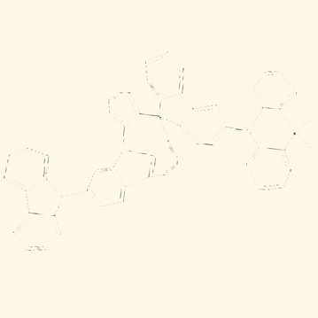 CC1(C)c2ccccc2N(c2ccc3c(c2)-c2ccccc2C32c3ccccc3B3c4cc(-n5c6ccccc6c6ccccc65)ccc4-c4cccc2c43)c2ccccc21